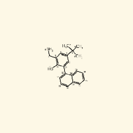 BCc1cc(C(C)(C)C)cc(-c2cccc3ccccc23)c1O